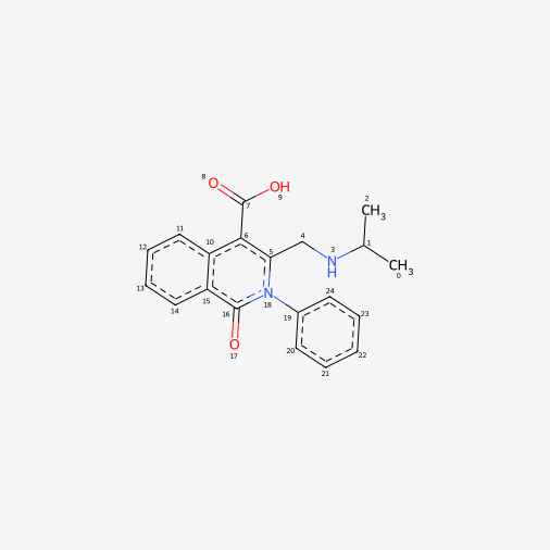 CC(C)NCc1c(C(=O)O)c2ccccc2c(=O)n1-c1ccccc1